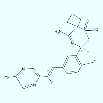 C[C@@]1(c2cc(/C=C(\F)c3cnc(Cl)cn3)ccc2F)CS(=O)(=O)C2(CCC2)C(N)=N1